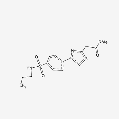 CNC(=O)Cc1nc(-c2ccc(S(=O)(=O)NCCC(F)(F)F)cc2)cs1